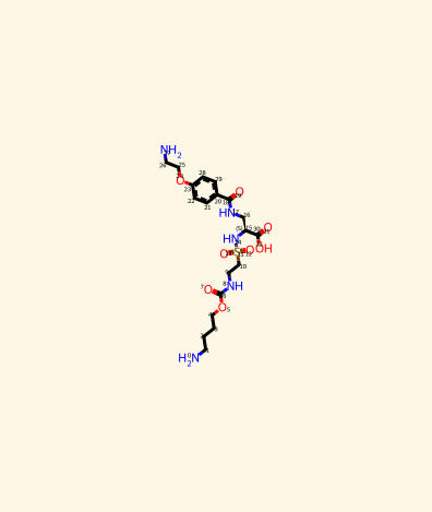 NCCCCOC(=O)NCCS(=O)(=O)N[C@@H](CNC(=O)c1ccc(OCCN)cc1)C(=O)O